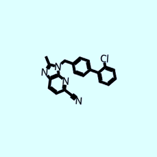 Cc1nc2ccc(C#N)nc2n1Cc1ccc(-c2ccccc2Cl)cc1